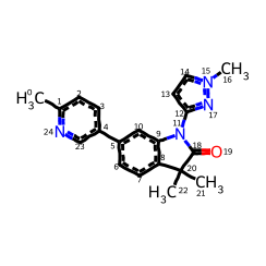 Cc1ccc(-c2ccc3c(c2)N(c2ccn(C)n2)C(=O)C3(C)C)cn1